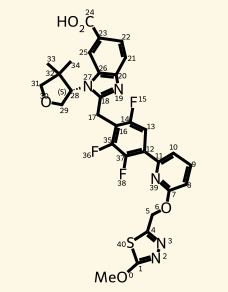 COc1nnc(COc2cccc(-c3cc(F)c(Cc4nc5ccc(C(=O)O)cc5n4[C@@H]4COCC4(C)C)c(F)c3F)n2)s1